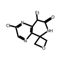 CCC1C(=O)NC2(COC2)c2ncc(Cl)nc21